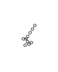 c1ccc(-c2ccc(-c3ccc(-c4ccc(N(c5ccccc5)c5cc(-c6ccccc6)c6oc7ccccc7c6c5)cc4)cc3)cc2)cc1